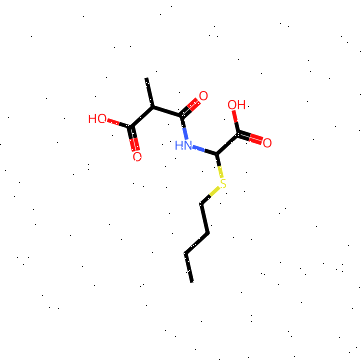 CCCCSC(NC(=O)C(C)C(=O)O)C(=O)O